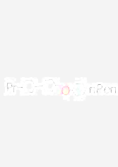 CCCCC[C@H]1CC[C@H](OCC2CCC(C3CCC(CCC)CC3)CC2)CC1